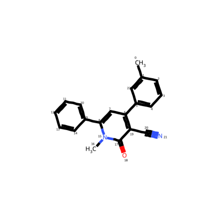 Cc1cccc(-c2cc(-c3ccccc3)n(C)c(=O)c2C#N)c1